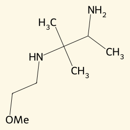 COCCNC(C)(C)C(C)N